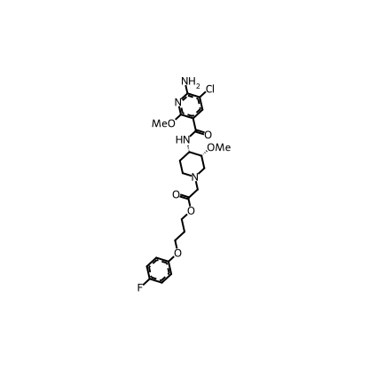 COc1nc(N)c(Cl)cc1C(=O)N[C@H]1CCN(CC(=O)OCCCOc2ccc(F)cc2)C[C@H]1OC